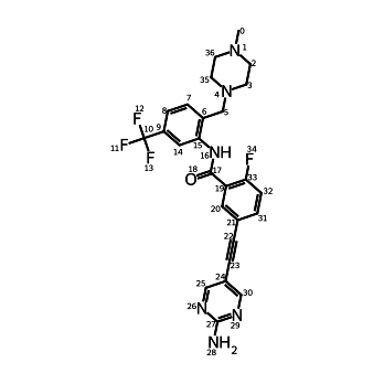 CN1CCN(Cc2ccc(C(F)(F)F)cc2NC(=O)c2cc(C#Cc3cnc(N)nc3)ccc2F)CC1